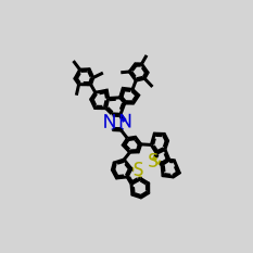 Cc1cc(C)c(-c2ccc3c(c2)c2cc(-c4c(C)cc(C)cc4C)ccc2c2nc(-c4cc(-c5cccc6c5sc5ccccc56)cc(-c5cccc6c5sc5ccccc56)c4)cnc32)c(C)c1